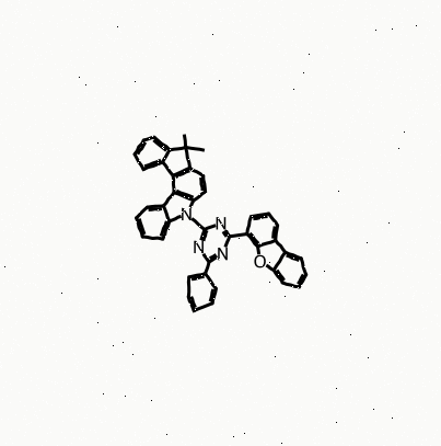 CC1(C)c2ccccc2-c2c1ccc1c2c2ccccc2n1-c1nc(-c2ccccc2)nc(-c2cccc3c2oc2ccccc23)n1